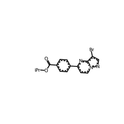 CC(C)OC(=O)c1ccc(-c2ccn3ncc(Br)c3n2)cc1